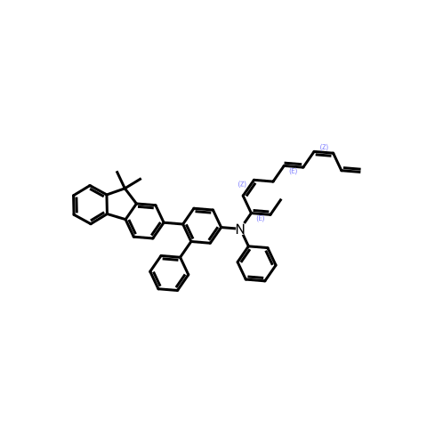 C=C/C=C\C=C\C/C=C\C(=C/C)N(c1ccccc1)c1ccc(-c2ccc3c(c2)C(C)(C)c2ccccc2-3)c(-c2ccccc2)c1